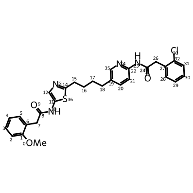 COc1ccccc1CC(=O)Nc1cnc(CCCCc2ccc(NC(=O)Cc3ccccc3Cl)nc2)s1